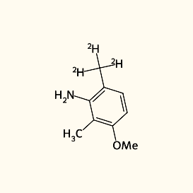 [2H]C([2H])([2H])c1ccc(OC)c(C)c1N